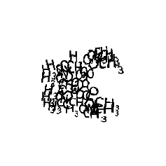 CN1C(C)(C)CC(OC(=O)C2CC(C(=O)OC3CC(C)(C)NC(C)(C)C3)C(C(=O)OC3CC(C)(C)N(C)C(C)(C)C3)C2C(=O)OC2CC(C)(C)N(C)C(C)(C)C2)CC1(C)C